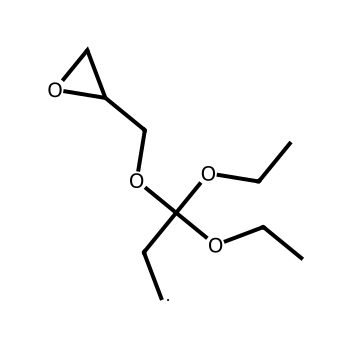 [CH2]CC(OCC)(OCC)OCC1CO1